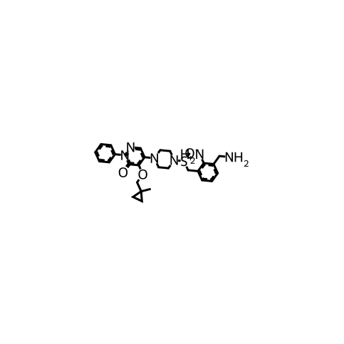 CC1(COc2c(N3CCN([S+]([O-])Cc4cccc(CN)c4N)CC3)cnn(-c3ccccc3)c2=O)CC1